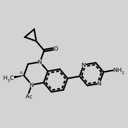 CC(=O)N1c2ccc(-c3cnc(N)cn3)cc2N(C(=O)C2CC2)C[C@@H]1C